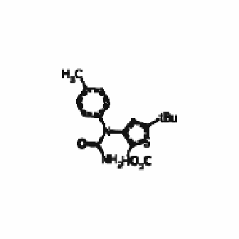 Cc1ccc(N(C(N)=O)c2cc(C(C)(C)C)sc2C(=O)O)cc1